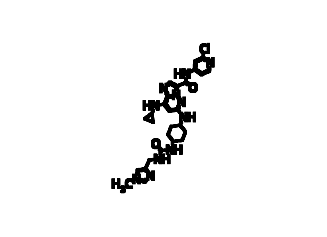 Cn1cnc(CNC(=O)N[C@H]2CC[C@H](Nc3cc(NC4CC4)c4ncc(C(=O)Nc5ccnc(Cl)c5)n4n3)CC2)c1